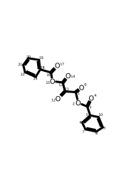 O=C(OC(=O)c1ccccc1)C(=O)C(=O)OC(=O)c1ccccc1